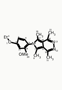 CCOc1ccc(-n2c(C)c3c(C)nnc(C)c3c2C)c(OC)c1